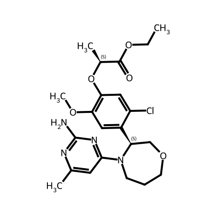 CCOC(=O)[C@H](C)Oc1cc(Cl)c([C@H]2COCCCN2c2cc(C)nc(N)n2)cc1OC